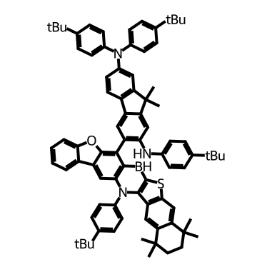 CC(C)(C)c1ccc(Nc2cc3c(cc2-c2c4c(cc5c2oc2ccccc25)N(c2ccc(C(C)(C)C)cc2)c2c(sc5cc6c(cc25)C(C)(C)CCC6(C)C)B4)-c2ccc(N(c4ccc(C(C)(C)C)cc4)c4ccc(C(C)(C)C)cc4)cc2C3(C)C)cc1